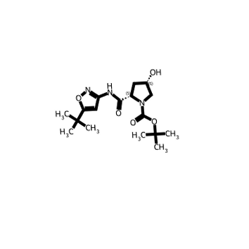 CC(C)(C)OC(=O)N1C[C@@H](O)C[C@H]1C(=O)Nc1cc(C(C)(C)C)on1